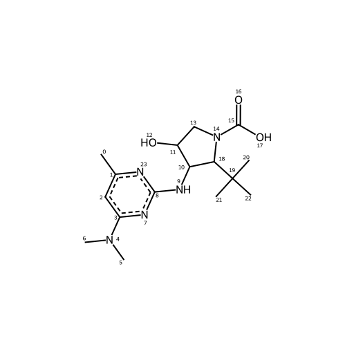 Cc1cc(N(C)C)nc(NC2C(O)CN(C(=O)O)C2C(C)(C)C)n1